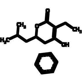 CCC1=C(O)CC(CC(C)C)OC1=O.c1ccccc1